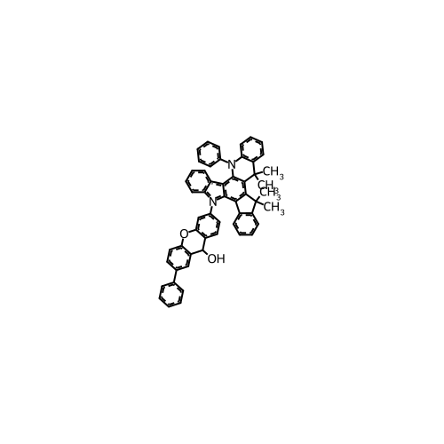 CC1(C)c2ccccc2N(c2ccccc2)c2c1c1c(c3c2c2ccccc2n3-c2ccc3c(c2)Oc2ccc(-c4ccccc4)cc2C3O)-c2ccccc2C1(C)C